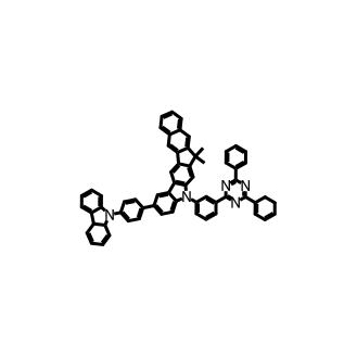 CC1(C)c2cc3ccccc3cc2-c2cc3c4cc(-c5ccc(N6c7ccccc7C7C=CC=CC76)cc5)ccc4n(-c4cccc(-c5nc(C6=CC=CCC6)nc(-c6ccccc6)n5)c4)c3cc21